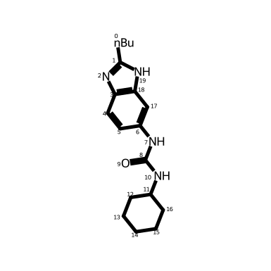 CCCCc1nc2ccc(NC(=O)NC3CCCCC3)cc2[nH]1